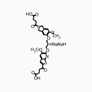 COc1cc2c(cc1OCCCOc1nc3sc(C(=O)CCC(=O)O)cc3cc1OC)CN(C(=O)CCC(=O)O)C2.[NaH].[NaH]